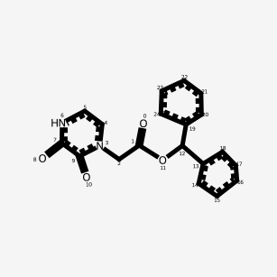 O=C(Cn1cc[nH]c(=O)c1=O)OC(c1ccccc1)c1ccccc1